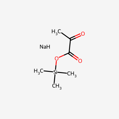 CC(=O)C(=O)O[Si](C)(C)C.[NaH]